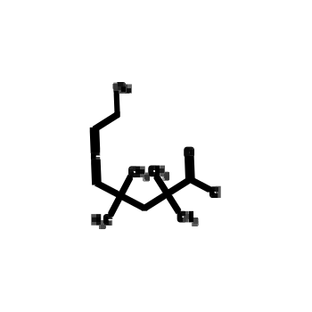 CC(C)(C)CC=C=CC(C)(C)CC(C)(C)C(=O)Cl